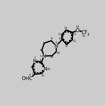 O=Cc1cnc(N2CCCN(c3ccc(OC(F)(F)F)cc3)CC2)nc1